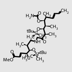 C=CC=C[C@H](C)[C@H](OC(N)=O)[C@@H](C)[C@H](O[Si](C)(C)C(C)(C)C)[C@@H](C)C(=O)CNC[C@H](C)[C@@H](O[Si](C)(C)C(C)(C)C)[C@@H](C)C=CC(=O)OC